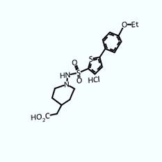 CCOc1ccc(-c2ccc(S(=O)(=O)NN3CCC(CC(=O)O)CC3)s2)cc1.Cl